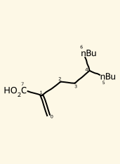 C=C(CCC(CCCC)CCCC)C(=O)O